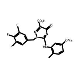 COc1ccc(C)c(Nc2nc(=O)c(C(=O)O)nn2Cc2cc(F)c(F)c(F)c2)c1